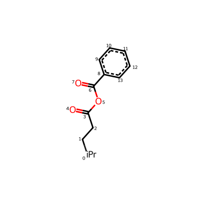 CC(C)CCC(=O)OC(=O)c1ccccc1